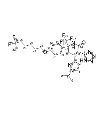 CC(C)n1ccc(C2=C(c3nnn[nH]3)C(=O)NC(c3ccc(OCCCCCC(F)(F)F)cc3)(C(F)(F)F)C2)n1